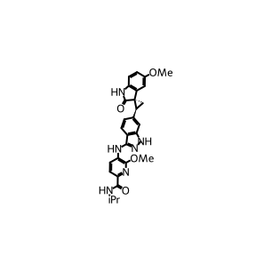 COc1ccc2c(c1)[C@]1(C[C@H]1c1ccc3c(Nc4ccc(C(=O)NC(C)C)nc4OC)n[nH]c3c1)C(=O)N2